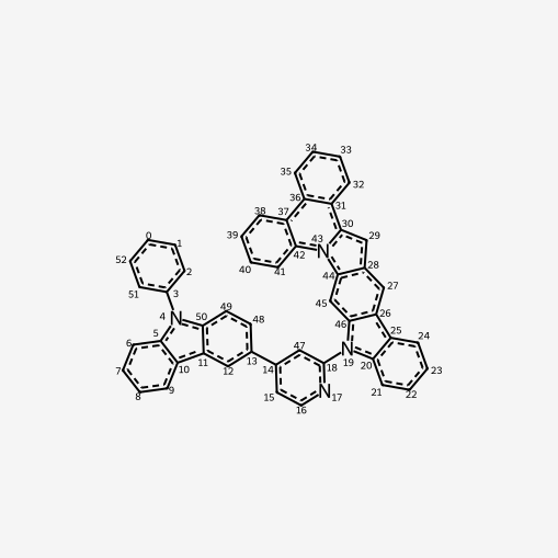 c1ccc(-n2c3ccccc3c3cc(-c4ccnc(-n5c6ccccc6c6cc7cc8c9ccccc9c9ccccc9n8c7cc65)c4)ccc32)cc1